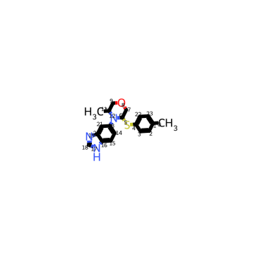 Cc1ccc(SC2CO[CH]C(C)N2c2ccc3[nH]cnc3c2)cc1